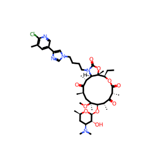 CC[C@H]1OC(=O)[C@H](C)C(=O)[C@H](C)[C@@H](O[C@@H]2O[C@H](C)C[C@H](N(C)C)[C@H]2O)[C@@](C)(OC)C[C@@H](C)C(=O)[C@H](C)[C@H]2N(CCCCn3cnc(-c4cnc(Cl)c(C)c4)c3)C(=O)O[C@]12C